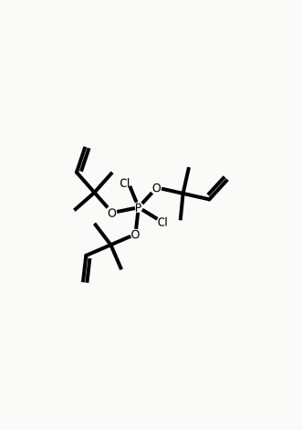 C=CC(C)(C)OP(Cl)(Cl)(OC(C)(C)C=C)OC(C)(C)C=C